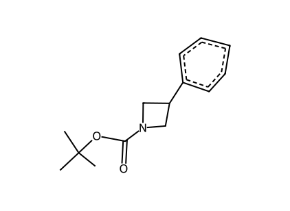 CC(C)(C)OC(=O)N1CC(c2ccccc2)C1